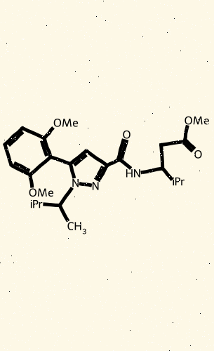 COC(=O)CC(NC(=O)c1cc(-c2c(OC)cccc2OC)n(C(C)C(C)C)n1)C(C)C